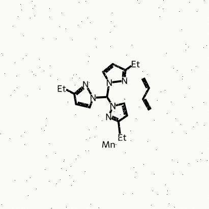 C=CC=C.CCc1ccn(C(n2ccc(CC)n2)n2ccc(CC)n2)n1.[Mn]